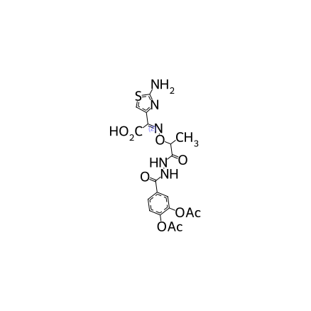 CC(=O)Oc1ccc(C(=O)NNC(=O)C(C)O/N=C(\C(=O)O)c2csc(N)n2)cc1OC(C)=O